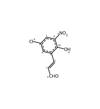 O=CC=Cc1cc(Cl)cc([N+](=O)[O-])c1O